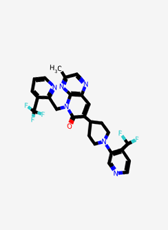 Cc1cnc2cc(C3CCN(c4cnccc4C(F)F)CC3)c(=O)n(Cc3ncccc3C(F)(F)F)c2n1